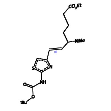 CCOC(=O)CCCC(/C=C/c1csc(NC(=O)OC(C)(C)C)n1)NC